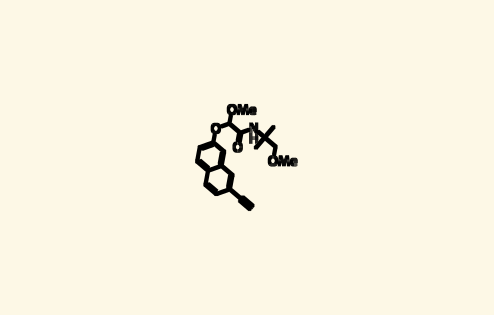 C#Cc1ccc2ccc(OC(OC)C(=O)NC(C)(C)COC)cc2c1